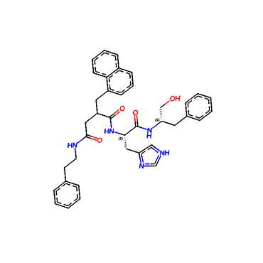 O=C(CC(Cc1cccc2ccccc12)C(=O)N[C@@H](Cc1c[nH]cn1)C(=O)N[C@H](CO)Cc1ccccc1)NCCc1ccccc1